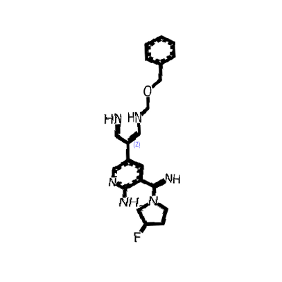 N=C/C(=C\NCOCc1ccccc1)c1cnc(N)c(C(=N)N2CCC(F)C2)c1